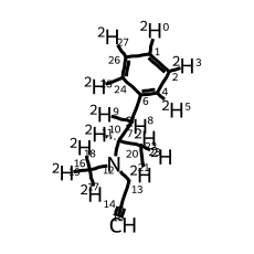 [2H]c1c([2H])c([2H])c(C([2H])([2H])[C@]([2H])(N(CC#C)C([2H])([2H])[2H])C([2H])([2H])[2H])c([2H])c1[2H]